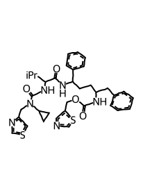 CC(C)C(NC(=O)N(Cc1cscn1)C1CC1)C(=O)NC(CCC(Cc1ccccc1)NC(=O)OCc1cncs1)c1ccccc1